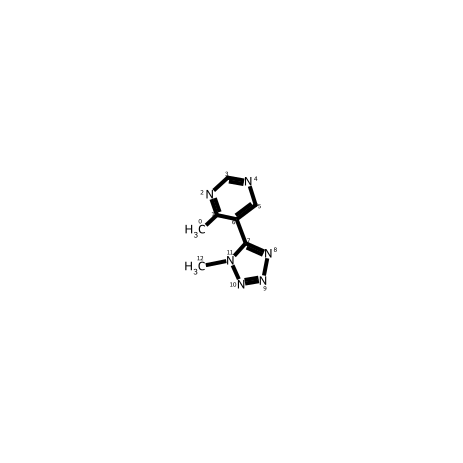 Cc1ncncc1-c1nnnn1C